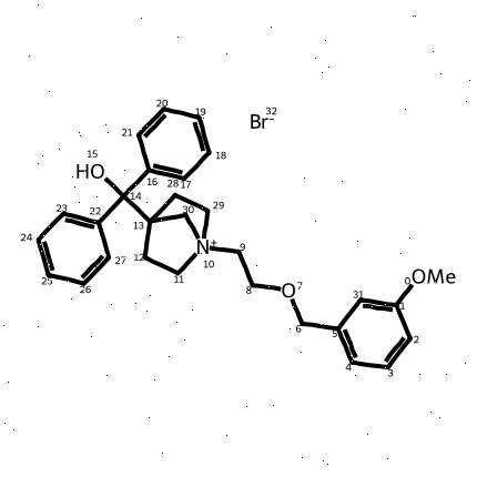 COc1cccc(COCC[N+]23CCC(C(O)(c4ccccc4)c4ccccc4)(CC2)C3)c1.[Br-]